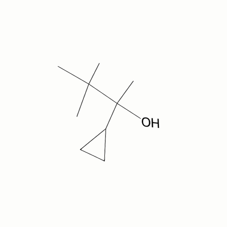 CC(C)(C)C(C)(O)C1CC1